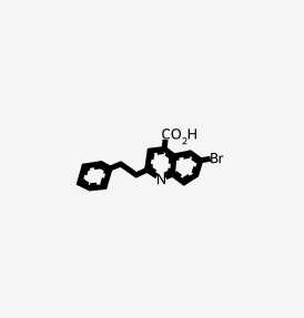 O=C(O)c1cc(CCc2ccccc2)nc2ccc(Br)cc12